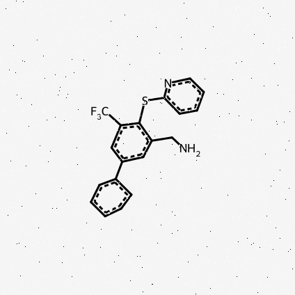 NCc1cc(-c2ccccc2)cc(C(F)(F)F)c1Sc1ccccn1